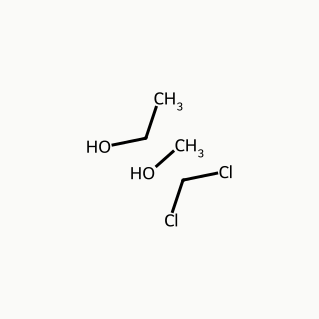 CCO.CO.ClCCl